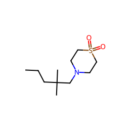 CCCC(C)(C)CN1CCS(=O)(=O)CC1